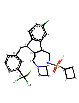 O=S(=O)(NCC1c2cc(F)ccc2C(Cc2cccc(C(F)(F)F)c2)C1CN1CCC1)C1CCC1